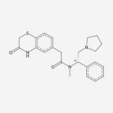 CN(C(=O)Cc1ccc2c(c1)NC(=O)CS2)[C@H](CN1CCCC1)c1ccccc1